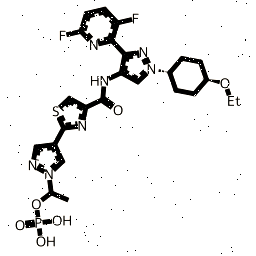 CCO[C@H]1CC[C@H](n2cc(NC(=O)c3csc(-c4cnn(C(C)OP(=O)(O)O)c4)n3)c(-c3nc(F)ccc3F)n2)CC1